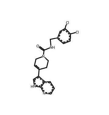 O=C(NCc1ccc(Cl)c(Cl)c1)N1CC=C(c2c[nH]c3ncccc23)CC1